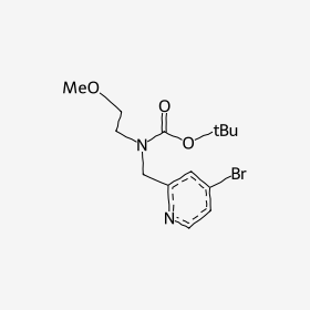 COCCN(Cc1cc(Br)ccn1)C(=O)OC(C)(C)C